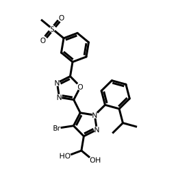 CC(C)c1ccccc1-n1nc(C(O)O)c(Br)c1-c1nnc(-c2cccc(S(C)(=O)=O)c2)o1